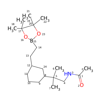 CC(=O)NCC(C)(C)C1CCCC(CCB2OC(C)(C)C(C)(C)O2)C1